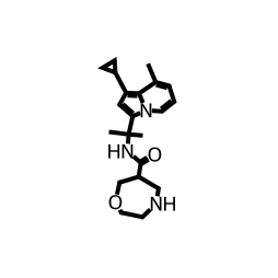 Cc1cccn2c(C(C)(C)NC(=O)C3CNCCOC3)cc(C3CC3)c12